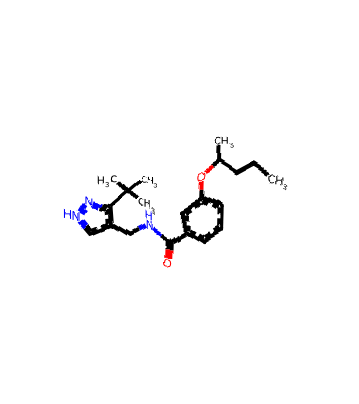 CCCC(C)Oc1cccc(C(=O)NCc2c[nH]nc2C(C)(C)C)c1